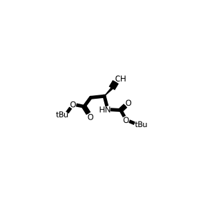 C#C[C@H](CC(=O)OC(C)(C)C)NC(=O)OC(C)(C)C